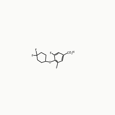 O=C(O)c1cc(F)c(OC2CCC(F)(F)CC2)c(F)c1